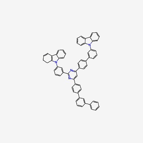 C1=Cc2c(n(-c3cccc(-c4nc(-c5ccc(-c6cccc(-c7ccccc7)c6)cc5)cc(-c5ccc(-c6cccc(-n7c8ccccc8c8ccccc87)c6)cc5)n4)c3)c3ccccc23)CC1